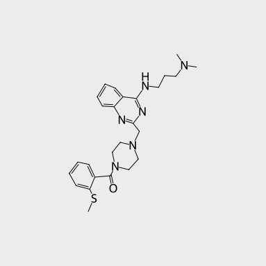 CSc1ccccc1C(=O)N1CCN(Cc2nc(NCCCN(C)C)c3ccccc3n2)CC1